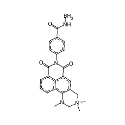 BNC(=O)c1ccc(N2C(=O)c3cccc4c5c(cc(c34)C2=O)C[N+](C)(C)CN5C)cc1